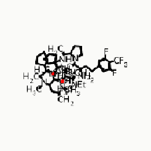 C=C(NC1(C(=C)N(C)C(C(=C)N(C)C(CC(=C)N(C)CC(C(=C)N(C)CC)C(C)CC)C(=C)N(C)C)C2CCCC2)CCCC1)C1CCCN1C(=C)C(N)CCc1cc(F)c(C(F)(F)F)c(F)c1